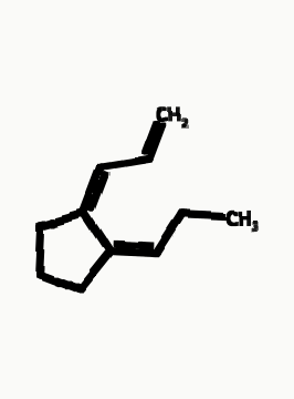 C=C/C=C1/CCC/C1=C/CC